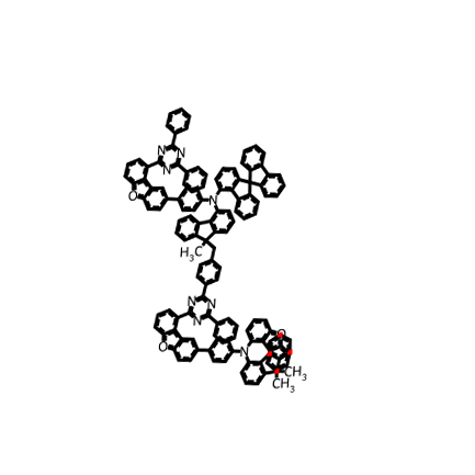 CC1(C)c2ccccc2-c2c(N(c3ccc(-c4ccc5oc6cccc(-c7nc(-c8ccccc8)nc(-c8ccc(CC9(C)c%10ccccc%10-c%10c(N(c%11ccc(-c%12ccc%13oc%14cccc(-c%15nc(-c%16ccccc%16)nc(-c%16ccccc%16)n%15)c%14c%13c%12)cc%11)c%11cccc%12c%11-c%11ccccc%11C%12%11c%12ccccc%12-c%12ccccc%12%11)cccc%109)cc8)n7)c6c5c4)cc3)c3cccc4oc5ccccc5c34)cccc21